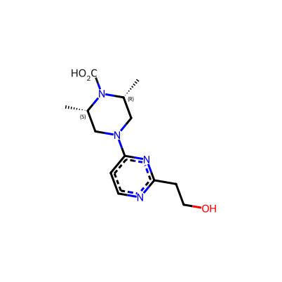 C[C@@H]1CN(c2ccnc(CCO)n2)C[C@H](C)N1C(=O)O